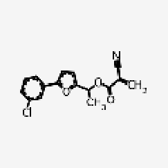 C=C(C#N)C(=O)OC(C)c1ccc(-c2cccc(Cl)c2)o1